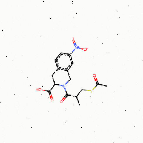 CC(=O)SCC(C)C(=O)N1Cc2cc([N+](=O)[O-])ccc2CC1C(=O)O